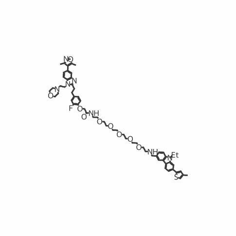 CCn1c2ccc(CNCCOCCOCCOCCOCCOCCNC(=O)COc3ccc(CCc4nc5cc(-c6c(C)noc6C)ccc5n4CCN4CCOCC4)cc3F)cc2c2ccc(-c3cc(C)cs3)cc21